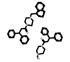 CC(C)N1CCN(C(=O)CC(c2ccccc2)c2ccccc2)CC1.O=C(CC(c1ccccc1)c1ccccc1)N1CCN(Cc2cccc3ccccc23)CC1